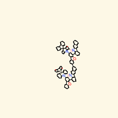 c1ccc2c(c1)-c1ccccc1C21c2ccccc2N2c3cc4c(oc5cc(-c6ccc7cc8c9cccc%10c9n(c8cc7c6)B6c7cccc8c7N(c7ccccc7[Si]87c8ccccc8-c8ccccc87)c7cc8c(oc9ccccc98)c-%10c76)ccc54)c4c3B(c3cccc1c32)n1c2cc3ccccc3cc2c2cccc-4c21